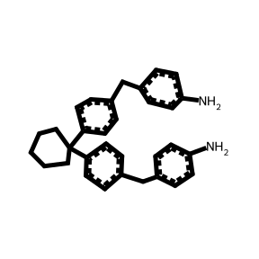 Nc1ccc(Cc2ccc(C3(c4ccc(Cc5ccc(N)cc5)cc4)CCCCC3)cc2)cc1